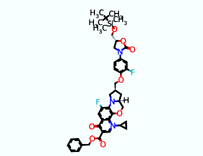 CC(C)(C)[Si](C)(C)OC[C@H]1CN(c2ccc(OC[C@H]3C[C@H]4COc5c(c(F)cc6c(=O)c(C(=O)OCc7ccccc7)cn(C7CC7)c56)N4C3)c(F)c2)C(=O)O1